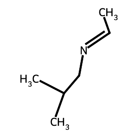 CC=NCC(C)C